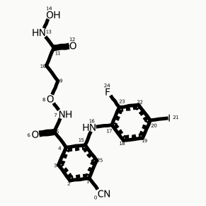 N#Cc1ccc(C(=O)NOCCC(=O)NO)c(Nc2ccc(I)cc2F)c1